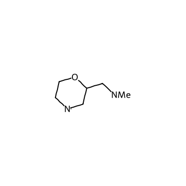 CNCC1C[N]CCO1